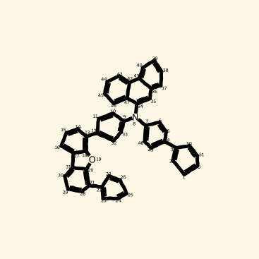 c1ccc(-c2ccc(N(c3ccc(-c4cccc5c4oc4c(-c6ccccc6)cccc45)cc3)c3cc4ccccc4c4ccccc34)cc2)cc1